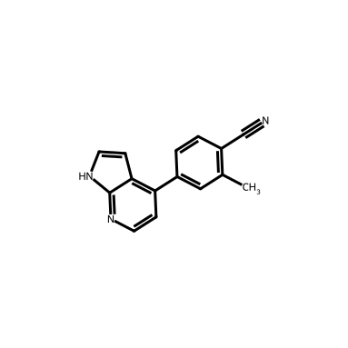 Cc1cc(-c2ccnc3[nH]ccc23)ccc1C#N